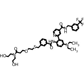 CCN(CC)c1ccc(NC(=O)c2cccc(CSCCOCCC(=O)N(CCO)CCO)c2)c(-c2cc(C(=O)NCc3cccc(C(F)(F)F)c3)ccn2)c1